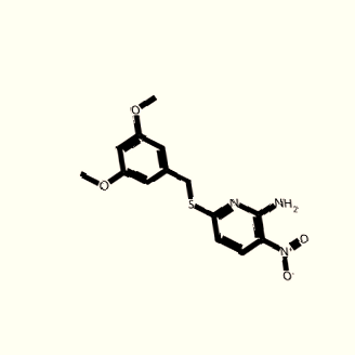 COc1cc(CSc2ccc([N+](=O)[O-])c(N)n2)cc(OC)c1